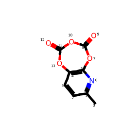 Cc1ccc2c(n1)OC(=O)OC(=O)O2